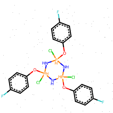 Fc1ccc(O[PH]2(Cl)N[PH](Cl)(Oc3ccc(F)cc3)N[PH](Cl)(Oc3ccc(F)cc3)N2)cc1